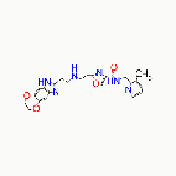 Cc1cccnc1CNC(=O)c1coc(CCNCCc2nc3cc4c(cc3[nH]2)OCCO4)n1